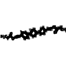 C=CC(=O)OC#Cc1ccc(-c2ccc(-c3ccc(C#COC(=O)C=C)cc3)cc2)cc1